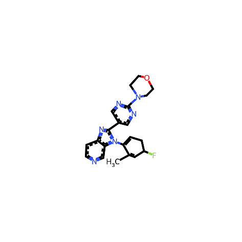 CC1=CC(F)CC=C1n1c(-c2cnc(N3CCOCC3)nc2)nc2ccncc21